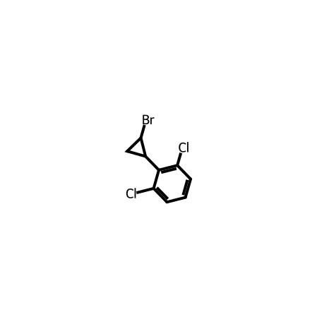 Clc1cccc(Cl)c1C1CC1Br